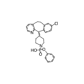 O=P(O)(Oc1ccccc1)N1CCC(=C2c3ccc(Cl)cc3CCc3cccnc32)CC1